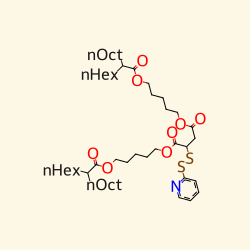 CCCCCCCCC(CCCCCC)C(=O)OCCCCCOC(=O)CC(SSc1ccccn1)C(=O)OCCCCCOC(=O)C(CCCCCC)CCCCCCCC